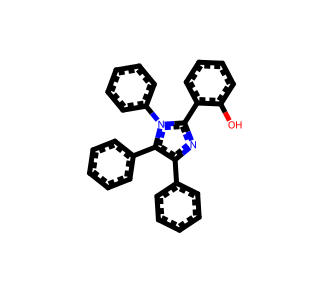 Oc1ccccc1-c1nc(-c2ccccc2)c(-c2ccccc2)n1-c1ccccc1